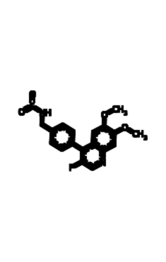 COc1cc2ncc(F)c(-c3ccc(CN[SH](=O)=O)cc3)c2cc1OC